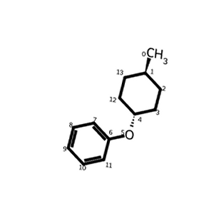 C[C@H]1CC[C@H](Oc2ccccc2)CC1